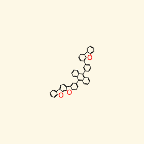 c1cc(-c2c3ccccc3c(-c3ccc4oc5c(ccc6c7ccccc7oc65)c4c3)c3ccccc23)cc(-c2cccc3c2oc2ccccc23)c1